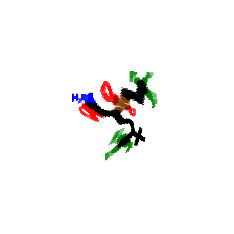 CC(C)(C)C(CCC(C(N)=O)S(=O)(=O)CCC(F)(F)F)C(F)(F)F